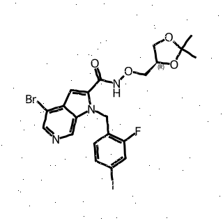 CC1(C)OC[C@H](CONC(=O)c2cc3c(Br)cncc3n2Cc2ccc(I)cc2F)O1